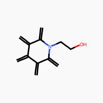 C=C1C(=C)C(=C)N(CCO)C(=C)C1=C